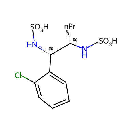 CCC[C@H](NS(=O)(=O)O)[C@@H](NS(=O)(=O)O)c1ccccc1Cl